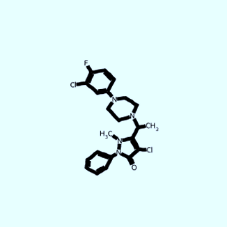 CC(c1c(Cl)c(=O)n(-c2ccccc2)n1C)N1CCN(c2ccc(F)c(Cl)c2)CC1